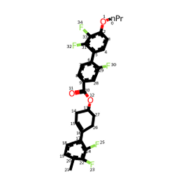 CCCOc1ccc(-c2ccc(C(=O)OC3CC=C(c4ccc(C)c(F)c4F)CC3)cc2F)c(F)c1F